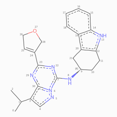 CC(C)c1cnn2c(N[C@@H]3CCc4[nH]c5ccccc5c4C3)nc(C3=CCOC3)nc12